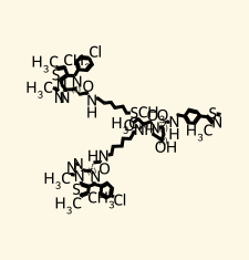 Cc1ncsc1-c1ccc(CNC(=O)[C@@H]2C[C@@H](O)CN2C(=O)[C@@H](NC(=O)CCCCCNC(=O)C[C@@H]2N=C(c3ccc(Cl)cc3)c3c(sc(C)c3C)-n3c(C)nnc32)C(C)(C)SCCCCCCNC(=O)C[C@@H]2N=C(c3ccc(Cl)cc3)c3c(sc(C)c3C)-n3c(C)nnc32)cc1